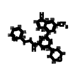 FC(F)(F)c1cc(-c2nc(NCCc3ccccn3)nc(N3CCOCC3)n2)c2cc[nH]c2c1